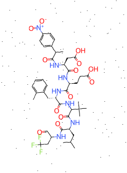 Cc1ccccc1C[C@H](NC(=O)[C@H](CCC(=O)O)NC(=O)[C@H](CC(=O)O)NC(=O)C(C)c1ccc([N+](=O)[O-])cc1)C(=O)N[C@H](C(=O)N[C@@H](CC(C)C)C(=O)NC(C=O)CC(F)(F)F)C(C)(C)C